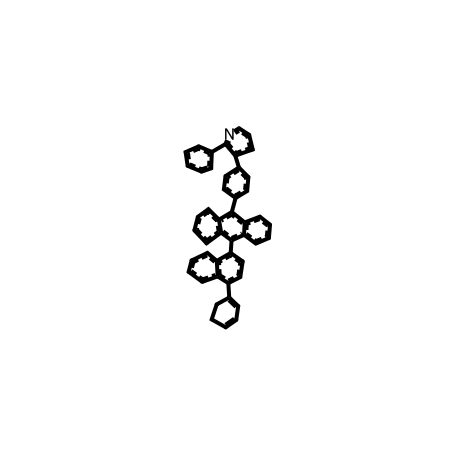 C1=CCCC(c2ccc(-c3c4ccccc4c(-c4ccc(-c5cccnc5-c5ccccc5)cc4)c4ccccc34)c3ccccc23)=C1